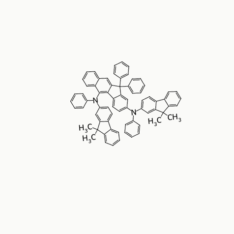 CC1(C)c2ccccc2-c2ccc(N(c3ccccc3)c3ccc4c(c3)C(c3ccccc3)(c3ccccc3)c3cc5ccccc5c(N(c5ccccc5)c5ccc6c(c5)C(C)(C)c5ccccc5-6)c3-4)cc21